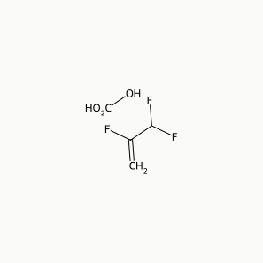 C=C(F)C(F)F.O=C(O)O